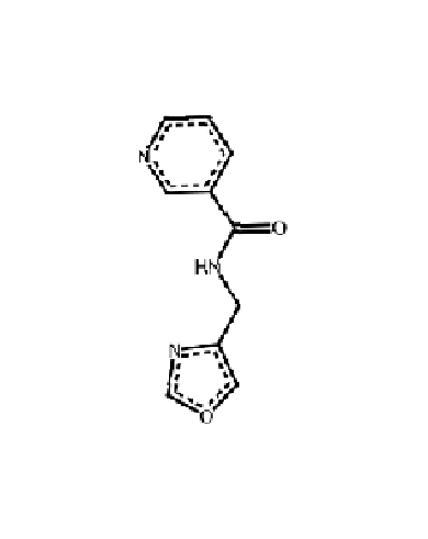 O=C(NCc1cocn1)c1cccnc1